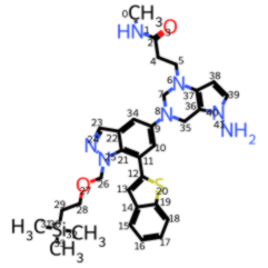 CNC(=O)CCN1CN(c2cc(-c3cc4ccccc4s3)c3c(cnn3COCC[Si](C)(C)C)c2)Cc2c1ccn2N